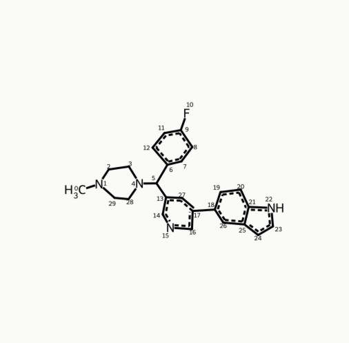 CN1CCN(C(c2ccc(F)cc2)c2cncc(-c3ccc4[nH]ccc4c3)c2)CC1